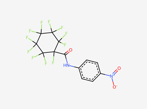 O=C(Nc1ccc([N+](=O)[O-])cc1)C1(F)C(F)(F)C(F)(F)C(F)(F)C(F)(F)C1(F)F